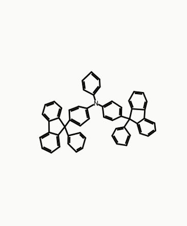 c1ccc(N(c2ccc(C3(c4ccccc4)c4ccccc4-c4ccccc43)cc2)c2ccc(C3(c4ccccc4)c4ccccc4-c4ccccc43)cc2)cc1